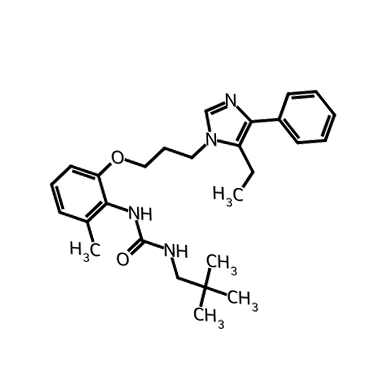 CCc1c(-c2ccccc2)ncn1CCCOc1cccc(C)c1NC(=O)NCC(C)(C)C